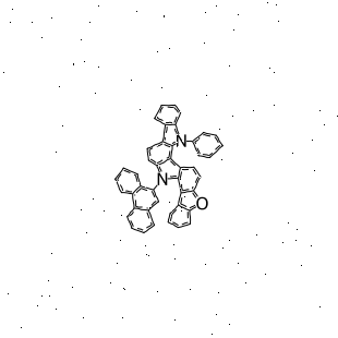 c1ccc(-n2c3ccccc3c3ccc4c(c5ccc6oc7ccccc7c6c5n4-c4cc5ccccc5c5ccccc45)c32)cc1